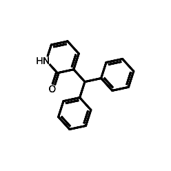 O=c1[nH]cccc1C(c1ccccc1)c1ccccc1